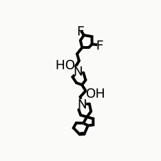 OC(CN1CCC2(CCC3C=CCCC32)CC1)C1CCN(C(O)CCC2CC(F)CC(F)C2)CC1